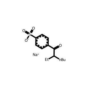 CCCCC(CC)C(=O)c1ccc(S(=O)(=O)[O-])cc1.[Na+]